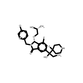 CCC(O)(c1cc(F)c2c(c1)C(=O)N(Cc1ccc(Cl)cn1)[C@@H]2OC[C@@H](C)O)C1(F)CCNCC1